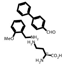 COc1ccccc1CN.NCC[C@H](N)C(=O)O.O=Cc1ccc(-c2ccccc2)cc1